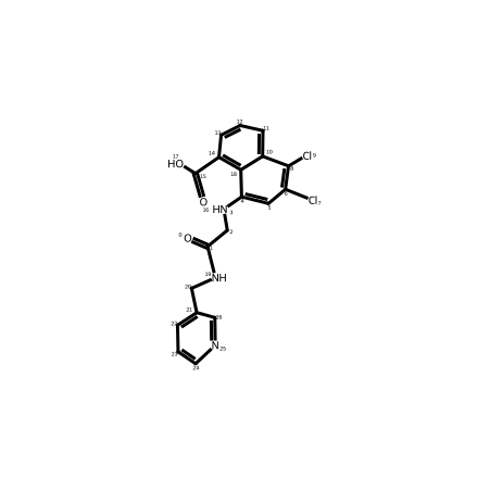 O=C(CNc1cc(Cl)c(Cl)c2cccc(C(=O)O)c12)NCc1cccnc1